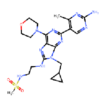 Cc1nc(N)ncc1-c1nc(N2CCOCC2)c2nc(NCCNS(C)(=O)=O)n(CC3CC3)c2n1